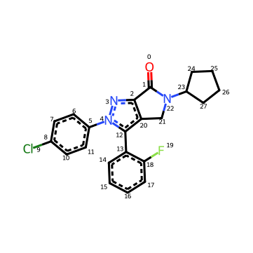 O=C1c2nn(-c3ccc(Cl)cc3)c(-c3ccccc3F)c2CN1C1CCCC1